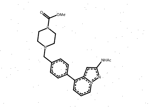 COC(=O)N1CCN(Cc2ccc(-c3cccn4nc(NC(C)=O)cc34)cc2)CC1